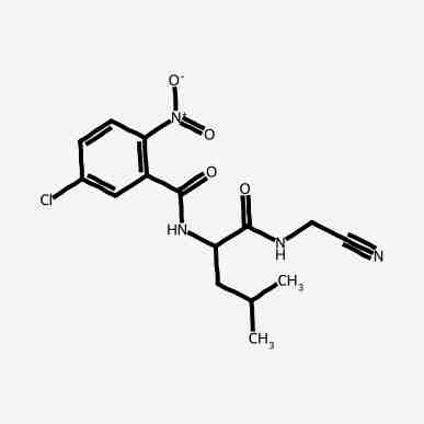 CC(C)CC(NC(=O)c1cc(Cl)ccc1[N+](=O)[O-])C(=O)NCC#N